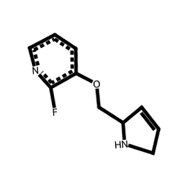 Fc1ncccc1OCC1C=CCN1